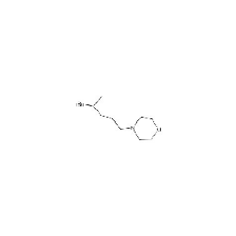 CCCCC(C)CCCN1CCOCC1